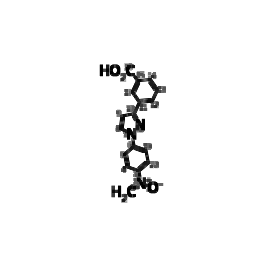 C=[N+]([O-])c1ccc(-n2ccc(-c3cccc(C(=O)O)c3)n2)cc1